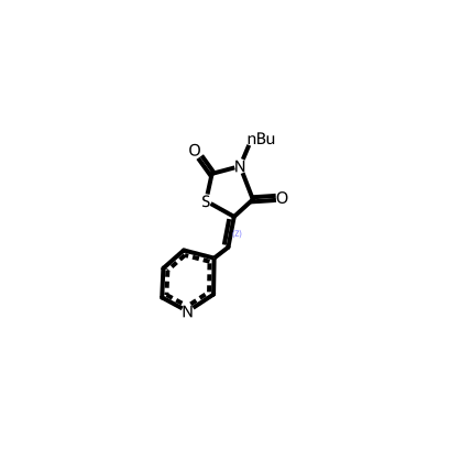 CCCCN1C(=O)S/C(=C\c2cccnc2)C1=O